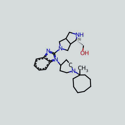 CC1(N2CCC(n3c(N4CC5CN[C@H](CO)C5C4)nc4ccccc43)CC2)CCCCCCC1